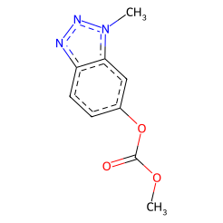 COC(=O)Oc1ccc2nnn(C)c2c1